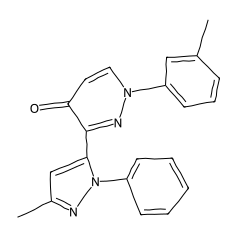 Cc1cccc(-n2ccc(=O)c(-c3cc(C)nn3-c3ccccc3)n2)c1